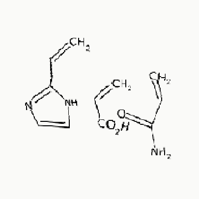 C=CC(=O)O.C=CC(N)=O.C=Cc1ncc[nH]1